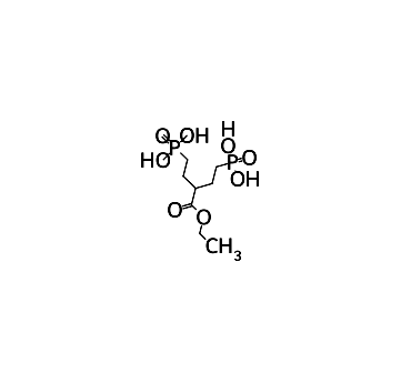 CCOC(=O)C(CCP(=O)(O)O)CCP(=O)(O)O